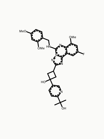 COc1ccc(CNc2nc3c(OC)cc(F)cc3c3nc(C4CC(O)(c5ccc(C(C)(C)O)nc5)C4)nn23)c(OC)c1